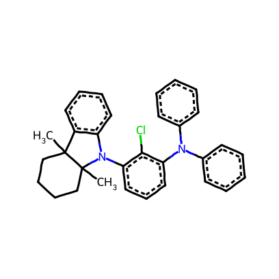 CC12CCCCC1(C)N(c1cccc(N(c3ccccc3)c3ccccc3)c1Cl)c1ccccc12